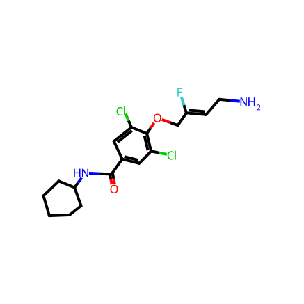 NC/C=C(\F)COc1c(Cl)cc(C(=O)NC2CCCCC2)cc1Cl